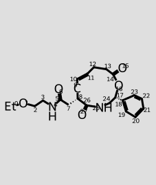 CCOCCNC(=O)C[C@@H]1C/C=C/CCC(=O)O[C@H](c2ccccc2)CNC1=O